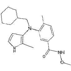 CONC(=O)c1ccc(C)c(N(CC2CCCCC2)c2cc[nH]c2C)c1